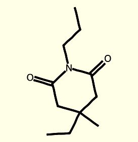 CCCN1C(=O)CC(C)(CC)CC1=O